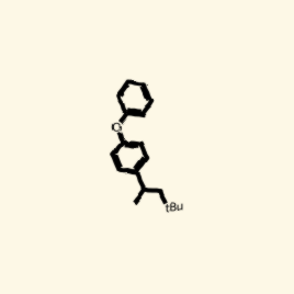 CC(CC(C)(C)C)c1ccc(Oc2cc[c]cc2)cc1